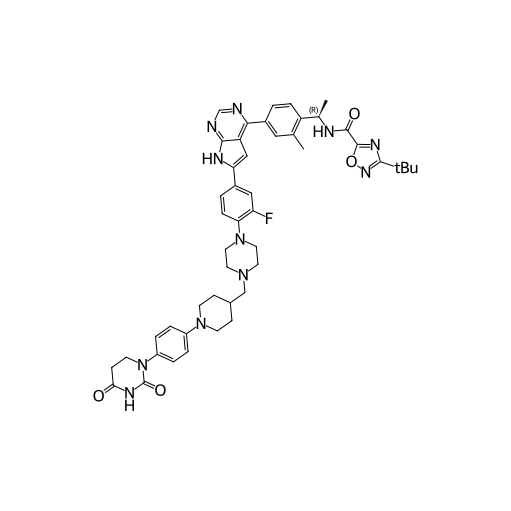 Cc1cc(-c2ncnc3[nH]c(-c4ccc(N5CCN(CC6CCN(c7ccc(N8CCC(=O)NC8=O)cc7)CC6)CC5)c(F)c4)cc23)ccc1[C@@H](C)NC(=O)c1nc(C(C)(C)C)no1